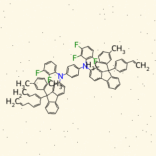 C=C/C=C(\C=C/CC=C)C1(c2cc(C)ccc2C)c2ccccc2-c2ccc(N(c3ccc(N(c4ccc5c(c4)C(c4ccc(C=C)cc4)(c4cc(C)ccc4C)c4ccccc4-5)c4c(F)ccc(F)c4F)cc3)c3cccc(F)c3F)cc21